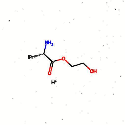 CC(C)[C@H](N)C(=O)OCCO.[H+]